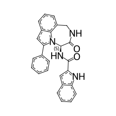 O=C(N[C@@H]1C(=O)NCc2cccc3cc(-c4ccccc4)n1c23)c1cc2ccccc2[nH]1